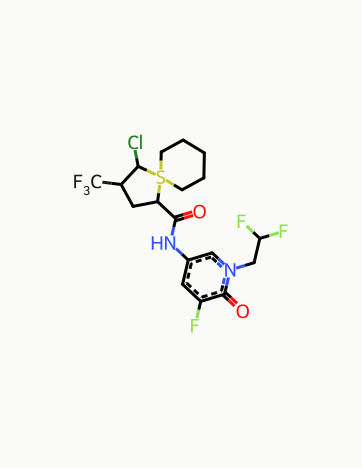 O=C(Nc1cc(F)c(=O)n(CC(F)F)c1)C1CC(C(F)(F)F)C(Cl)S12CCCCC2